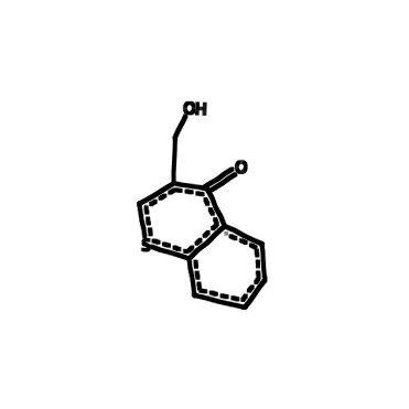 O=c1c(CO)csc2ccccc12